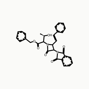 C[C@@H](O)C(C(=O)OCc1ccccc1)N1C(=O)C(N2C(=O)c3ccccc3C2=O)C1C=Cc1ccccc1